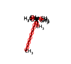 COCCOCCCC1(CCCOCCOCCOCCOCCOCCOCCOCCOCCOCCOCCOCCOC)c2cc(B3OC(C)(C)C(C)(C)O3)ccc2-c2ccc(B3OC(C)(C)C(C)(C)O3)cc21